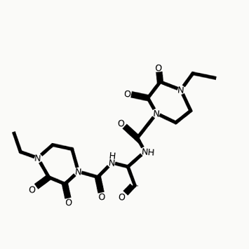 CCN1CCN(C(=O)NC([C]=O)NC(=O)N2CCN(CC)C(=O)C2=O)C(=O)C1=O